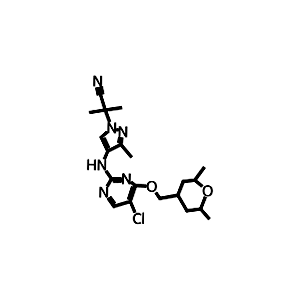 Cc1nn(C(C)(C)C#N)cc1Nc1ncc(Cl)c(OCC2CC(C)OC(C)C2)n1